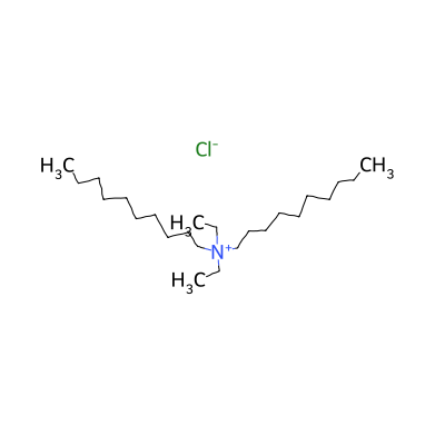 CCCCCCCCCC[N+](CC)(CC)CCCCCCCCCC.[Cl-]